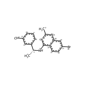 Cc1nc(N[C@H](C)c2cccc(Cl)c2)c2ccc(Br)cc2n1